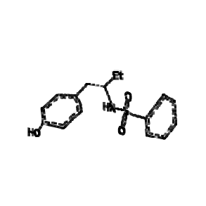 CCC(Cc1ccc(O)cc1)NS(=O)(=O)c1ccccc1